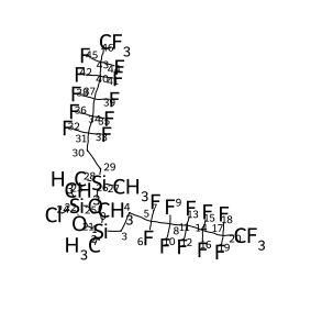 C[Si](C)(CCC(F)(F)C(F)(F)C(F)(F)C(F)(F)C(F)(F)C(F)(F)F)O[Si](C)(Cl)O[Si](C)(C)CCC(F)(F)C(F)(F)C(F)(F)C(F)(F)C(F)(F)C(F)(F)F